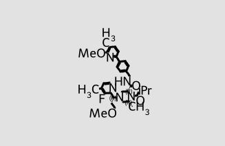 COCC[C@H](c1nccc(C)c1F)N1C[C@@H](C)N(C(=O)C(C)C)[C@@H](C(=O)NCc2ccc(-c3ccc(C)c(OC)n3)cc2)C1